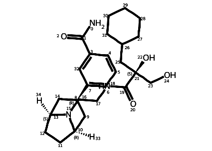 NC(=O)c1cccc([C@H]2C[C@H]3CC[C@@H](C2)N3CCNC(=O)[C@@](O)(CO)CC2CCCCC2)c1